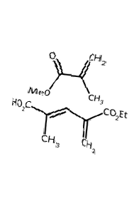 C=C(C)C(=O)OC.C=C(C=C(C)C(=O)O)C(=O)OCC